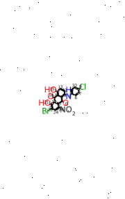 O=C1c2c(Nc3ccc(Cl)cc3)ccc(O)c2C(=O)c2c(O)c(Br)cc([N+](=O)[O-])c21